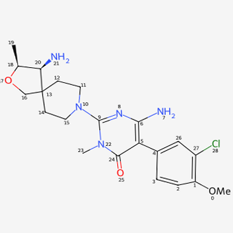 COc1ccc(-c2c(N)nc(N3CCC4(CC3)CO[C@@H](C)[C@H]4N)n(C)c2=O)cc1Cl